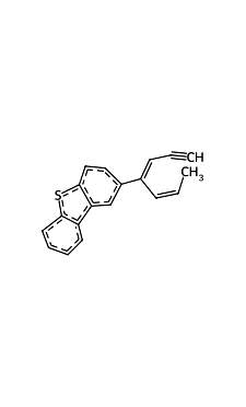 C#C/C=C(\C=C/C)c1ccc2sc3ccccc3c2c1